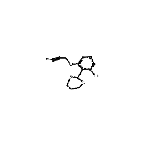 CC#CCOc1cccc(Cl)c1C1SCCCS1